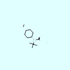 CC(C)(C)N(C(=O)O)[C@H]1CC[C@H](CI)CC1